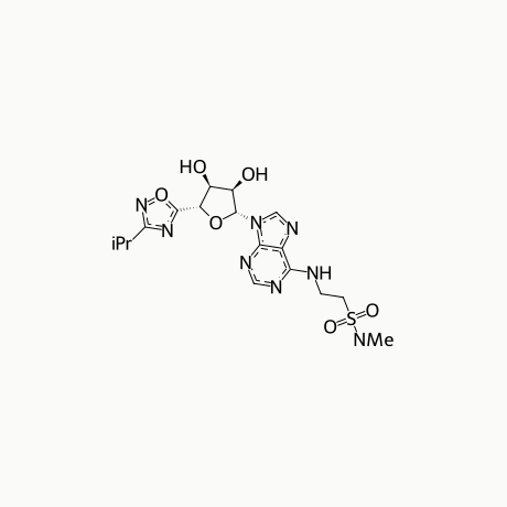 CNS(=O)(=O)CCNc1ncnc2c1ncn2[C@@H]1O[C@H](c2nc(C(C)C)no2)[C@@H](O)[C@H]1O